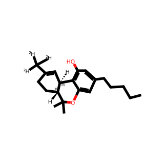 [2H]C([2H])([2H])C1=C[C@H]2c3c(O)cc(CCCCC)cc3OC(C)(C)[C@@H]2CC1